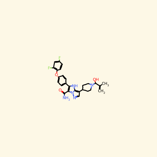 C=C(C)C(O)N1CCC(c2cnn3c(C(N)=O)c(-c4ccc(Oc5ccc(F)cc5F)cc4)[nH]c23)CC1